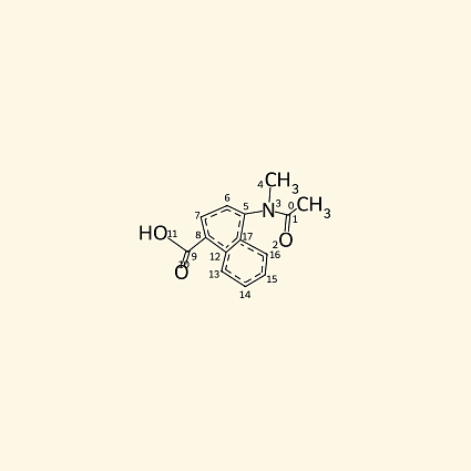 CC(=O)N(C)c1ccc(C(=O)O)c2ccccc12